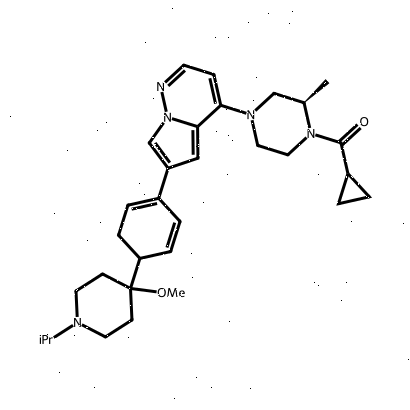 COC1(C2C=CC(c3cc4c(N5CCN(C(=O)C6CC6)[C@H](C)C5)ccnn4c3)=CC2)CCN(C(C)C)CC1